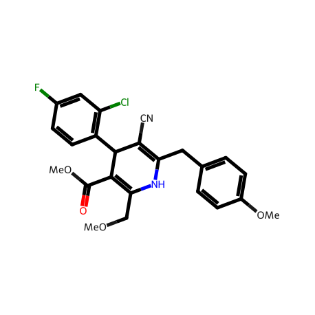 COCC1=C(C(=O)OC)C(c2ccc(F)cc2Cl)C(C#N)=C(Cc2ccc(OC)cc2)N1